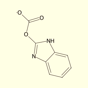 [O]C(=O)Oc1nc2ccccc2[nH]1